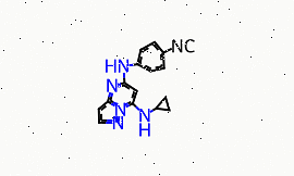 [C-]#[N+]c1ccc(Nc2cc(NC3CC3)n3nccc3n2)cc1